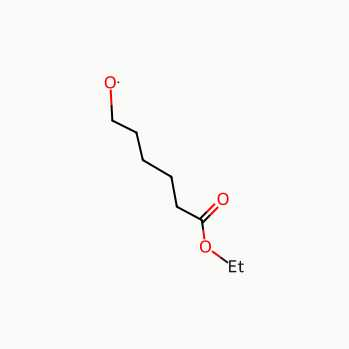 CCOC(=O)CCCCC[O]